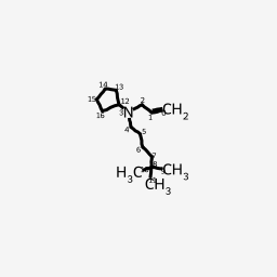 C=CCN(CCCCC(C)(C)C)C1CCCC1